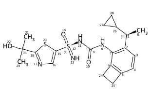 C[C@@H](c1ccc2c(c1NC(=O)N[S@](=N)(=O)c1cnc(C(C)(C)O)s1)CC2)C1CC1